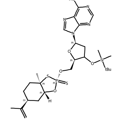 C=C(C)[C@H]1CC[C@@]2(C)S[P@](=S)(OC[C@H]3O[C@@H](n4cnc5c(O)ncnc54)CC3O[Si](C)(C)C(C)(C)C)O[C@@H]2C1